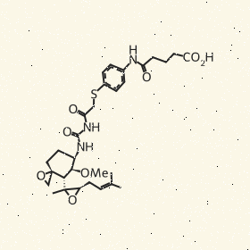 CO[C@H]1[C@H](C2(C)O[C@@H]2CC=C(C)C)[C@]2(CC[C@H]1NC(=O)NC(=O)CSc1ccc(NC(=O)CCCC(=O)O)cc1)CO2